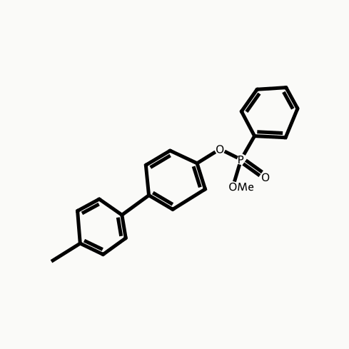 COP(=O)(Oc1ccc(-c2ccc(C)cc2)cc1)c1ccccc1